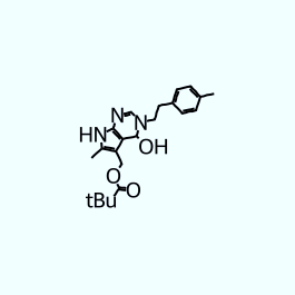 Cc1ccc(CCN2C=Nc3[nH]c(C)c(COC(=O)C(C)(C)C)c3C2O)cc1